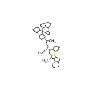 C=CC(=C\C=C(/C)c1ccc2c(c1)C1(c3ccccc3-2)c2ccccc2-c2cccc3cccc1c23)/C(=C/c1sc2ccc3c(c2c1C)CC=CCC3)c1ccccc1